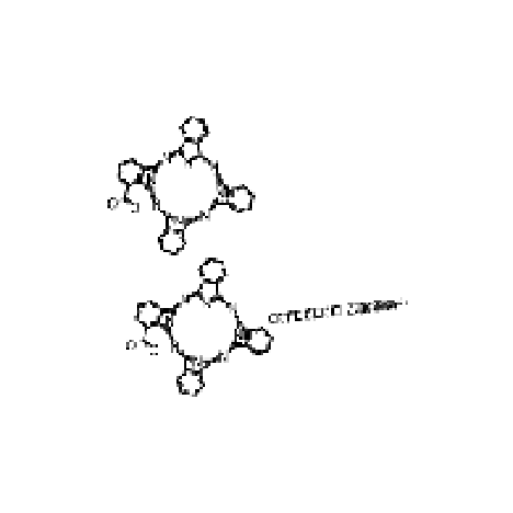 O=C([O-])c1cccc2c3nc4nc(nc5[nH]c(nc6nc(nc([nH]3)c12)-c1ccccc1-6)c1ccccc51)-c1ccccc1-4.O=C([O-])c1cccc2c3nc4nc(nc5[nH]c(nc6nc(nc([nH]3)c12)-c1ccccc1-6)c1ccccc51)-c1ccccc1-4.[Cl-].[Cl-].[Cl-].[Cl-].[Cl-].[Cl-].[Cl-].[Cl-].[Zn+2].[Zn+2].[Zn+2].[Zn+2].[Zn+2]